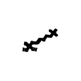 C[N+](C)(C)CCOC=COP(=O)(O)O